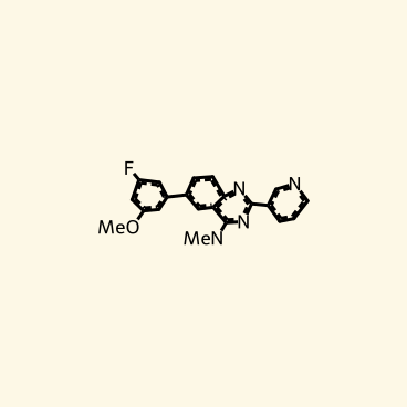 CNc1nc(-c2cccnc2)nc2ccc(-c3cc(F)cc(OC)c3)cc12